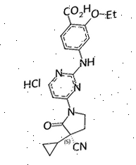 CCOc1cc(Nc2nccc(N3CC[C@@](C#N)(C4CC4)C3=O)n2)ccc1C(=O)O.Cl